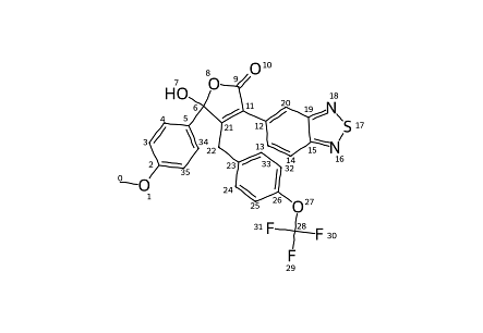 COc1ccc(C2(O)OC(=O)C(c3ccc4nsnc4c3)=C2Cc2ccc(OC(F)(F)F)cc2)cc1